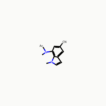 CC(=O)N(C)c1cc(C#N)cc2ccn(C)c12